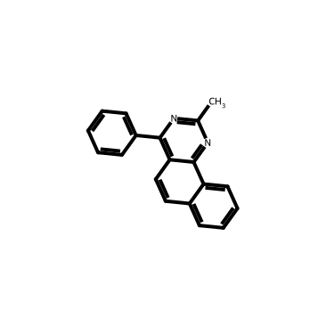 Cc1nc(-c2ccccc2)c2ccc3ccccc3c2n1